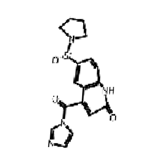 O=C(c1cc(=O)[nH]c2ccc([S+]([O-])N3CCCC3)cc12)n1ccnc1